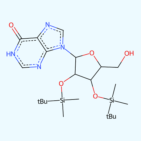 CC(C)(C)[Si](C)(C)OC1C(CO)OC(n2cnc3c(=O)[nH]cnc32)C1O[Si](C)(C)C(C)(C)C